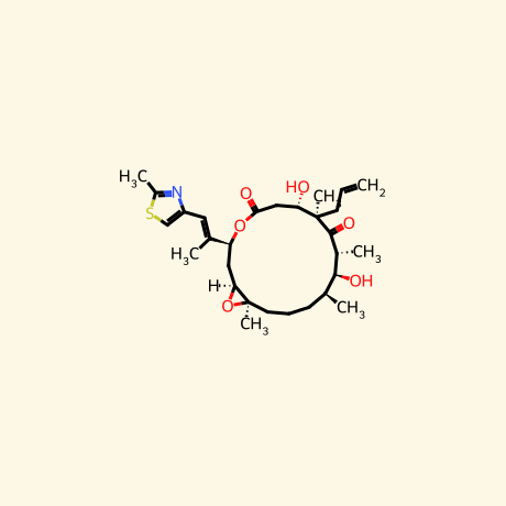 C=CC[C@@]1(C)C(=O)[C@H](C)[C@@H](O)[C@@H](C)CCC[C@@]2(C)O[C@H]2C[C@@H](/C(C)=C/c2csc(C)n2)OC(=O)C[C@@H]1O